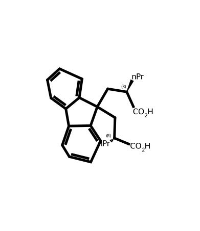 CCC[C@H](CC1(C[C@@H](CCC)C(=O)O)c2ccccc2-c2ccccc21)C(=O)O